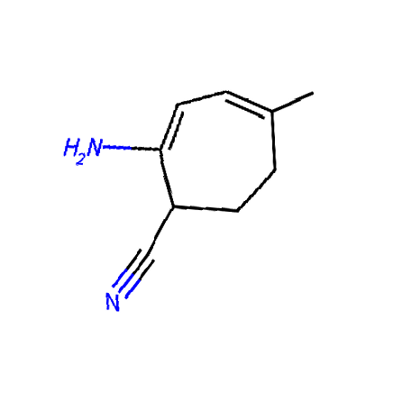 CC1=CC=C(N)C(C#N)CC1